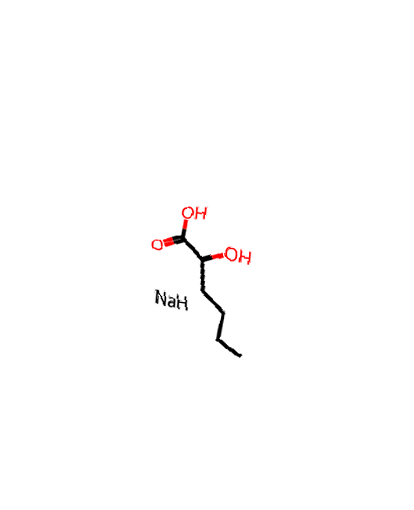 CCCCC(O)C(=O)O.[NaH]